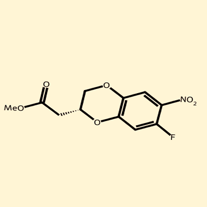 COC(=O)C[C@@H]1COc2cc([N+](=O)[O-])c(F)cc2O1